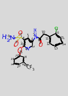 NS(=O)(=O)c1cc(NC(=O)Cc2ccccc2Cl)cnc1Oc1cccc(C(F)(F)F)c1